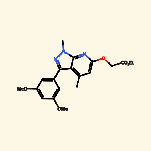 CCOC(=O)COc1cc(C)c2c(-c3cc(OC)cc(OC)c3)nn(C)c2n1